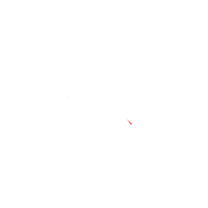 CC1C2OC(C[C@H]2O)[C@@H](C)[C@H]1O